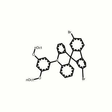 CCCCCCCCOc1cc(OCCCCCCCC)cc(N2c3ccccc3C3(c4cc(Br)ccc4-c4ccc(Br)cc43)c3ccccc32)c1